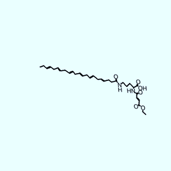 CCC=CCC=CCC=CCC=CCC=CCC=CCCC(=O)NCCCC(NC(=O)C=CC(=O)OCC)C(=O)O